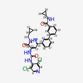 O=C(Nc1c(Cl)cncc1Cl)Nc1cc(-c2cccc(-c3cccc(C(=O)NC4CC4)c3)c2)nn(CC2CC2)c1=O